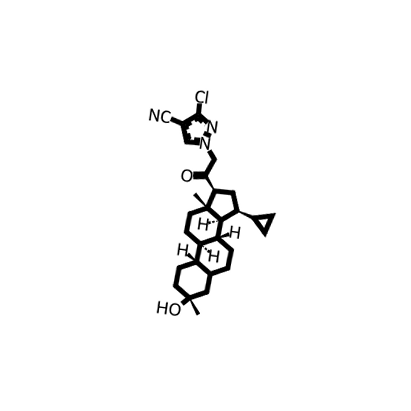 C[C@@]1(O)CC[C@H]2C(CC[C@@H]3[C@@H]2CC[C@@]2(C)[C@H]3[C@H](C3CC3)C[C@@H]2C(=O)Cn2cc(C#N)c(Cl)n2)C1